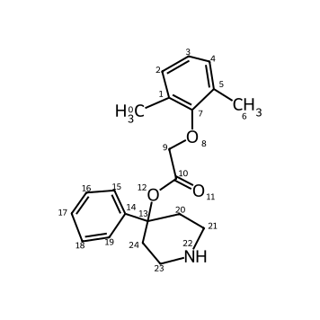 Cc1cccc(C)c1OCC(=O)OC1(c2ccccc2)CCNCC1